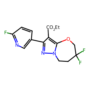 CCOC(=O)c1c(-c2ccc(F)nc2)nn2c1OCC(F)(F)CC2